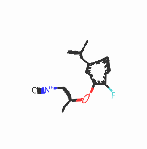 [C-]#[N+]CC(C)Oc1cc(C(C)C)ccc1F